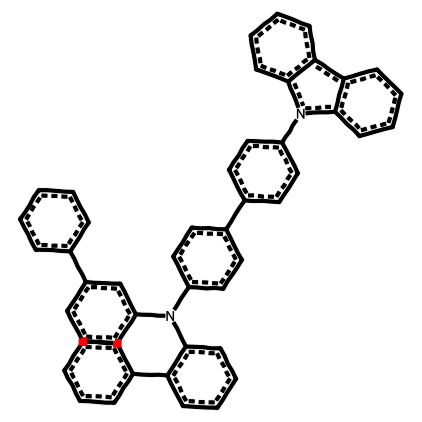 c1ccc(-c2cccc(N(c3ccc(-c4ccc(-n5c6ccccc6c6ccccc65)cc4)cc3)c3ccccc3-c3ccccc3)c2)cc1